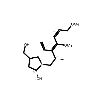 C=C/C(=C(\C=C/COC)OC)[C@H](C)CN1CC(CO)C[C@H]1O